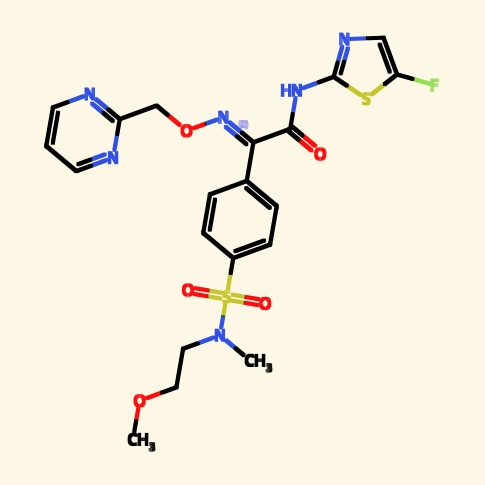 COCCN(C)S(=O)(=O)c1ccc(/C(=N\OCc2ncccn2)C(=O)Nc2ncc(F)s2)cc1